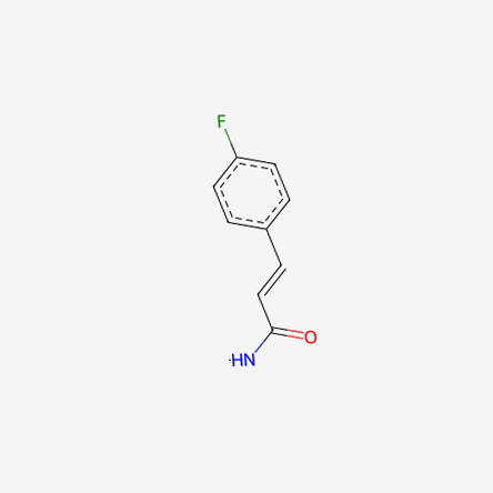 [NH]C(=O)C=Cc1ccc(F)cc1